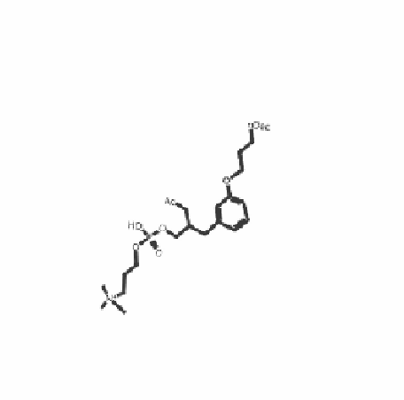 CCCCCCCCCCCCCOc1cccc(CC(COP(=O)(O)OCCC[N+](C)(C)C)CC(C)=O)c1